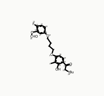 Cc1c(OCCCCOc2ccc(F)c(OC=O)c2)ccc(C(=O)CC(C)(C)C)c1O